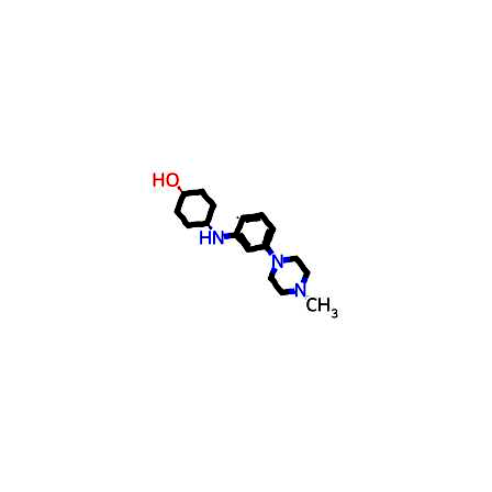 CN1CCN(c2cc[c]c(N[C@H]3CC[C@@H](O)CC3)c2)CC1